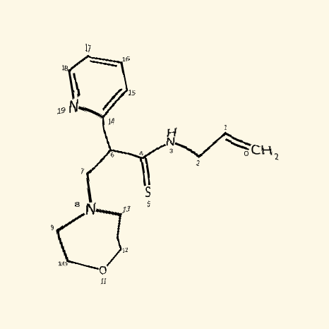 C=CCNC(=S)C(CN1CCOCC1)c1ccccn1